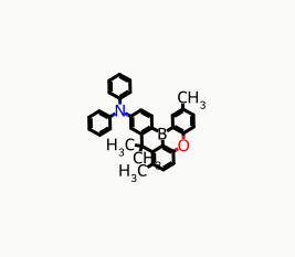 Cc1ccc2c(c1)B1c3ccc(N(c4ccccc4)c4ccccc4)cc3C(C)(C)c3c(C)ccc(c31)O2